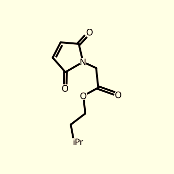 CC(C)CCOC(=O)CN1C(=O)C=CC1=O